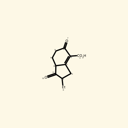 CCC1CC2=C(C(=O)O)C(=O)CCC2C1=O